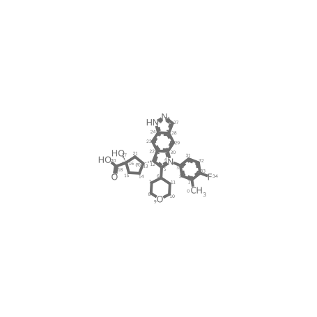 Cc1cc(-n2c(C3CCOCC3)c([C@@H]3CC[C@@](O)(C(=O)O)C3)c3cc4[nH]ncc4cc32)ccc1F